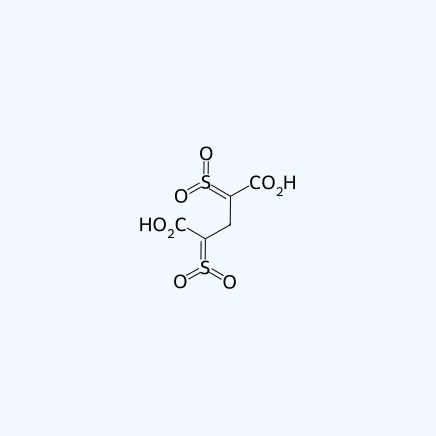 O=C(O)C(CC(C(=O)O)=S(=O)=O)=S(=O)=O